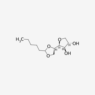 CCCCCC1OC[C@H]([C@H]2OC[C@H](O)[C@H]2O)O1